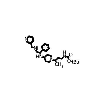 CC(CCNC(=O)OC(C)(C)C)N1CCC(NC(CNCc2cccnc2)c2ccccc2)CC1